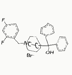 OC(c1ccccc1)(c1ccccc1)C12CC[N+](Cc3ccc(F)cc3F)(CC1)CC2.[Br-]